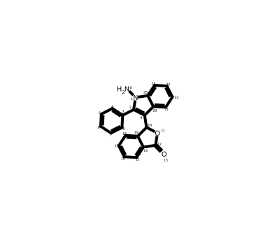 Nn1c(-c2ccccc2)c(C2OC(=O)c3ccccc32)c2ccccc21